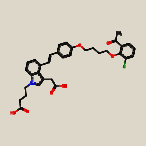 CC(=O)c1cccc(Cl)c1OCCCCOc1ccc(C=Cc2cccc3c2c(CC(=O)O)cn3CCCC(=O)O)cc1